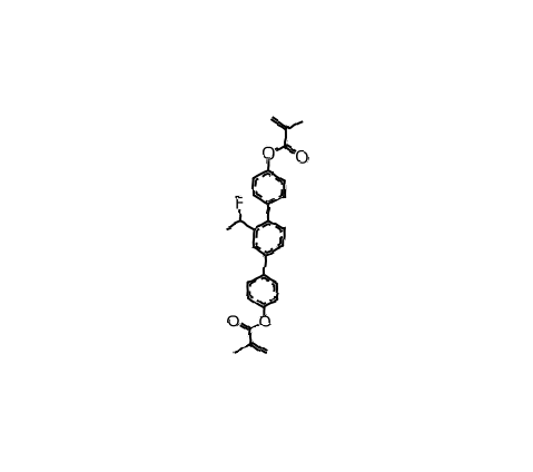 C=C(C)C(=O)Oc1ccc(-c2ccc(-c3ccc(OC(=O)C(=C)C)cc3)c(C(C)F)c2)cc1